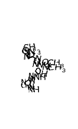 COc1ncc(-c2cnc(N(C(=O)NC(C)C)C3CCC(Nc4ncc(C#N)c(-c5n[nH]cc5Cl)n4)CC3)cn2)cn1